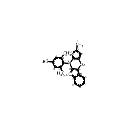 Cc1cc2c(s1)N(c1c(C)cc(C(C)(C)C)cc1C)c1oc3ccccc3c1O2